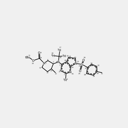 [2H]c1nc(N(C2CN(C(=O)OC(C)(C)C)CCC2C)C([2H])([2H])[2H])c2ccn(S(=O)(=O)c3ccc(C)cc3)c2n1